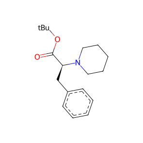 CC(C)(C)OC(=O)[C@H](Cc1ccccc1)N1CCCCC1